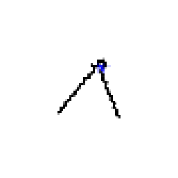 CCCCCCCCCCCCCCCCC(C)c1cccc[n+]1CCCCCCCCCCCCCC